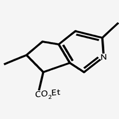 CCOC(=O)C1c2cnc(C)cc2CC1C